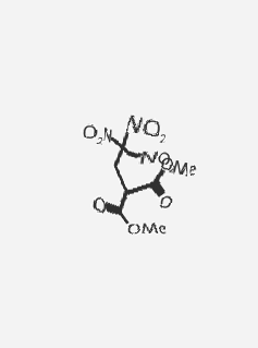 COC(=O)C(CC([N+](=O)[O-])([N+](=O)[O-])[N+](=O)[O-])C(=O)OC